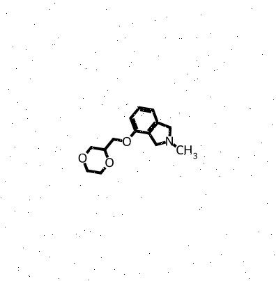 CN1Cc2cccc(OCC3COCCO3)c2C1